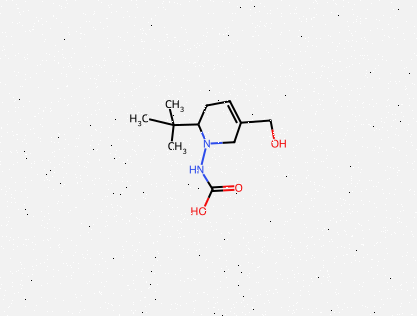 CC(C)(C)C1CC=C(CO)CN1NC(=O)O